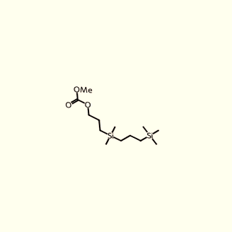 COC(=O)OCCC[Si](C)(C)CCC[Si](C)(C)C